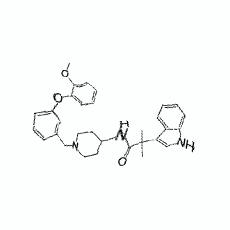 COc1ccccc1Oc1cccc(CN2CCC(NC(=O)C(C)(C)c3c[nH]c4ccccc34)CC2)c1